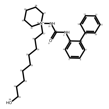 O=C(Nc1ccccc1-c1ccccc1)N[N+]1(CCCCCCCCCO)CCCCC1